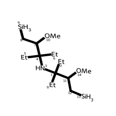 CCC(CC)(NC(CC)(CC)C(C[SiH3])OC)C(C[SiH3])OC